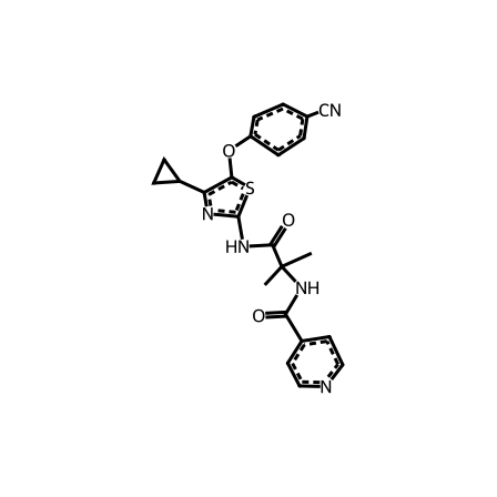 CC(C)(NC(=O)c1ccncc1)C(=O)Nc1nc(C2CC2)c(Oc2ccc(C#N)cc2)s1